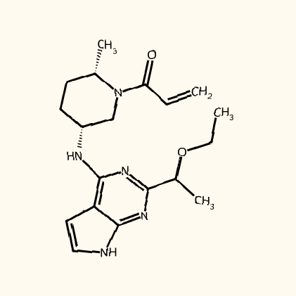 C=CC(=O)N1C[C@H](Nc2nc(C(C)OCC)nc3[nH]ccc23)CC[C@@H]1C